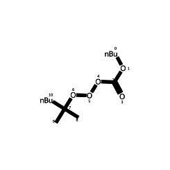 CCCCOC(=O)OOOC(C)(C)CCCC